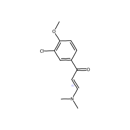 COc1ccc(C(=O)/C=C/N(C)C)cc1Cl